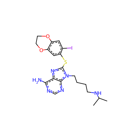 CC(C)NCCCCn1c(Sc2cc3c(cc2I)OCCO3)nc2c(N)ncnc21